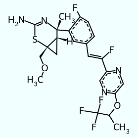 COC[C@]12C[C@H]1[C@@](C)(c1cc(/C=C(\F)c3cnc(OC(C)C(F)(F)F)cn3)ccc1F)N=C(N)S2